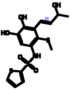 CSc1c(NS(=O)(=O)c2cccs2)cc(O)c(O)c1/C=C/C(C)O